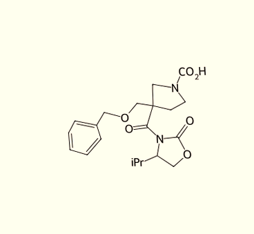 CC(C)C1COC(=O)N1C(=O)C1(COCc2ccccc2)CCN(C(=O)O)C1